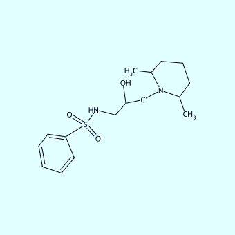 CC1CCCC(C)N1CC(O)CNS(=O)(=O)c1ccccc1